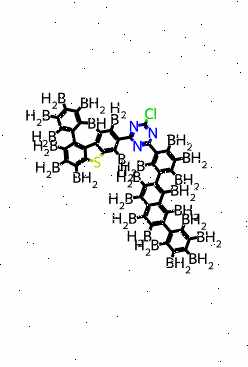 Bc1c(B)c(B)c(-c2c(B)c(B)c3c(B)c(B)c(-c4c(B)c(B)c(B)c(-c5nc(Cl)nc(-c6c(B)c7c8c(sc9c(B)c(B)c(B)c(c98)-c8c(B)c(B)c(B)c(B)c8B7)c6B)n5)c4B)c(B)c3c2B)c(B)c1B